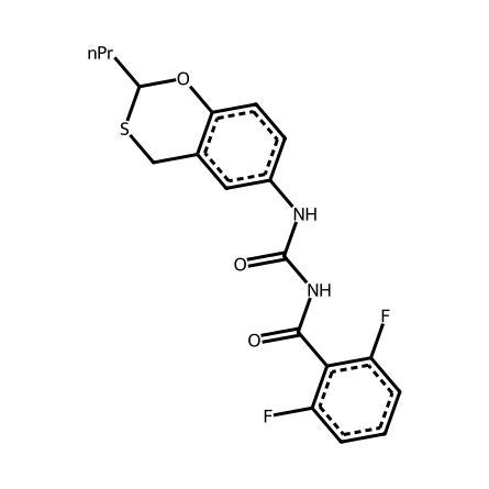 CCCC1Oc2ccc(NC(=O)NC(=O)c3c(F)cccc3F)cc2CS1